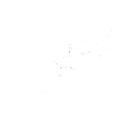 Fc1ccc(Cl)c(-c2ccc(N[C@H]3C[C@@H]4CN(CC5CCCOC5)C[C@@H]4C3)nn2)c1